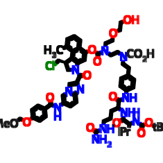 COCOc1ccc(C(=O)Nc2ccc3nc(C(=O)N4C[C@@H](CCl)c5c4cc(OC(=O)N(CCOCCO)CCN(CCc4ccc(NC(=O)C(CCCNC(N)=O)NC(=O)C(NC(=O)OC(C)(C)C)C(C)C)cc4)C(=O)O)c4cccc(C)c54)cn3c2)cc1